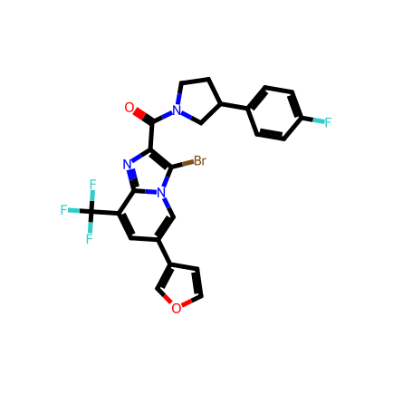 O=C(c1nc2c(C(F)(F)F)cc(-c3ccoc3)cn2c1Br)N1CCC(c2ccc(F)cc2)C1